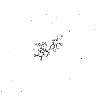 Cn1c2c([nH]c1=O)C=CC(C1=CC3CCC1CN3C(=O)C1(O)CCC1)N2CC(C)(C)C